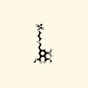 COC(=O)c1cc(CCOCCCOS(C)(=O)=O)cc([N+](=O)[O-])c1C(=O)OC